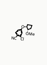 CO[C@H]1CCC[C@@H]1Oc1ccc(C#N)c(Cl)c1